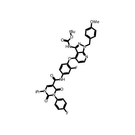 COc1ccc(Cn2nc(NC(=O)OC(C)(C)C)c3c(Oc4ccc(NC(=O)c5cn(C(C)C)c(=O)n(-c6ccc(F)cc6)c5=O)cc4F)ccnc32)cc1